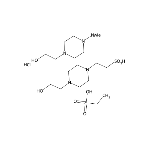 CCS(=O)(=O)O.CNN1CCN(CCO)CC1.Cl.O=S(=O)(O)CCN1CCN(CCO)CC1